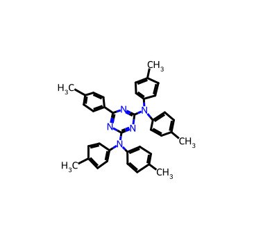 Cc1ccc(-c2nc(N(c3ccc(C)cc3)c3ccc(C)cc3)nc(N(c3ccc(C)cc3)c3ccc(C)cc3)n2)cc1